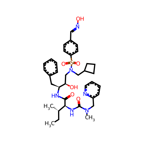 CC[C@H](C)[C@H](NC(=O)N(C)Cc1ccccn1)C(=O)N[C@@H](Cc1ccccc1)[C@H](O)CN(CC1CCC1)S(=O)(=O)c1ccc(/C=N/O)cc1